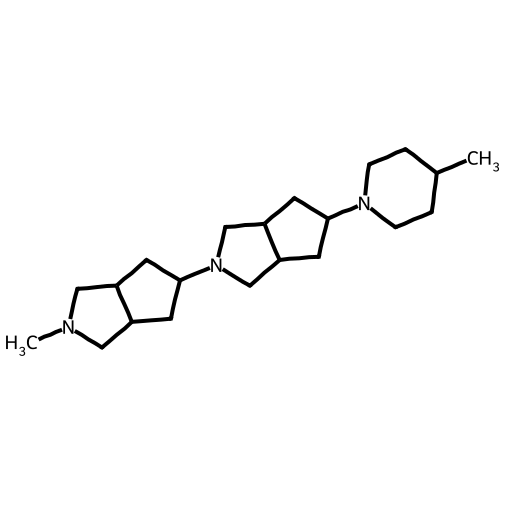 CC1CCN(C2CC3CN(C4CC5CN(C)CC5C4)CC3C2)CC1